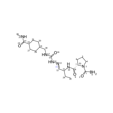 BC(=O)N1CCC[C@H]1C(=O)NC(/C=N/NC(=O)NCC1CCC(C(=O)NC)CC1)CC